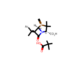 C=S1[C@@H]2C(=C(C)C(C)=O)C(=O)N2[C@@H](C(=O)O)C1(C)C.CC(C)(C)C(=O)O